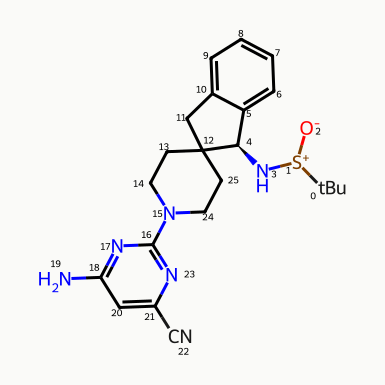 CC(C)(C)[S+]([O-])N[C@@H]1c2ccccc2CC12CCN(c1nc(N)cc(C#N)n1)CC2